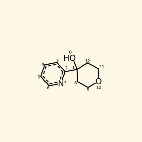 OC1(c2ccc[c]n2)CCOCC1